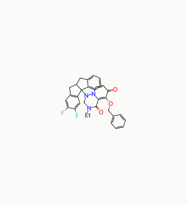 CCN1CN(C23c4ccccc4CC2Cc2cc(F)c(F)cc23)n2ccc(=O)c(OCc3ccccc3)c2C1=O